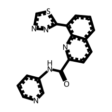 O=C(Nc1cccnc1)c1ccc2cccc(-c3nncs3)c2n1